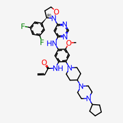 C=CC(=O)Nc1cc(Nc2cc(N3OCC[C@@H]3c3cc(F)cc(F)c3)ncn2)c(OC)cc1N1CCC(N2CCN(C3CCCC3)CC2)CC1